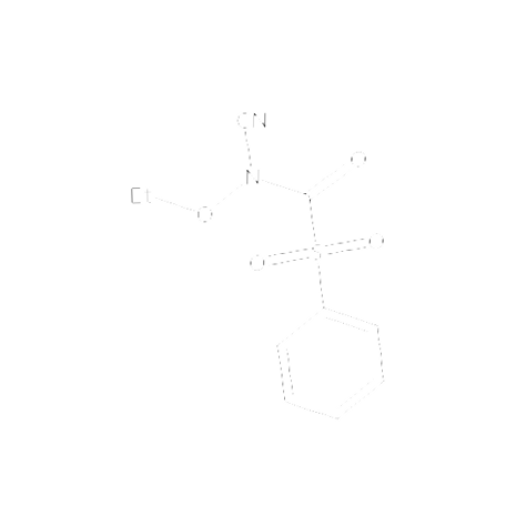 CCON(C#N)C(=O)S(=O)(=O)c1ccccc1